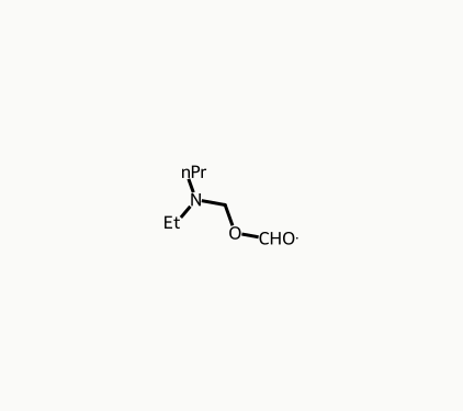 CCCN(CC)CO[C]=O